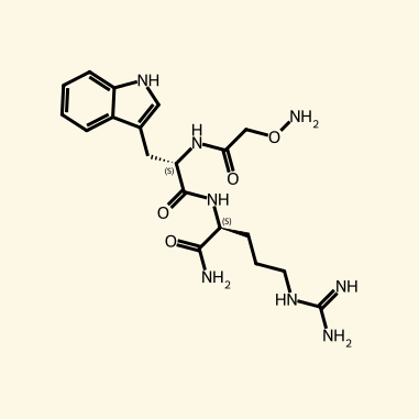 N=C(N)NCCC[C@H](NC(=O)[C@H](Cc1c[nH]c2ccccc12)NC(=O)CON)C(N)=O